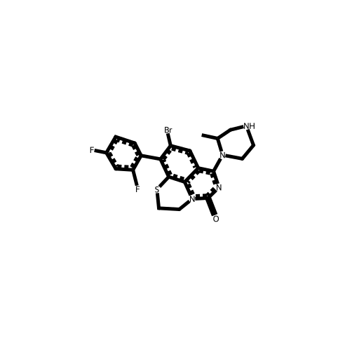 CC1CNCCN1c1nc(=O)n2c3c(c(-c4ccc(F)cc4F)c(Br)cc13)SCC2